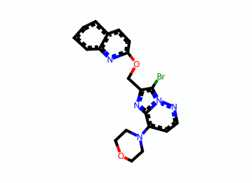 Brc1c(COc2ccc3ccccc3n2)nc2c(N3CCOCC3)ccnn12